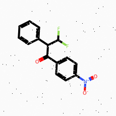 O=C(c1ccc([N+](=O)[O-])cc1)C(c1ccccc1)C(F)F